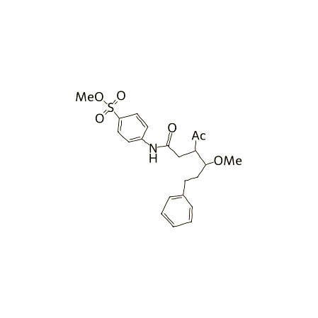 COC(CCc1ccccc1)C(CC(=O)Nc1ccc(S(=O)(=O)OC)cc1)C(C)=O